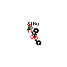 CC(C)(CO[Si](C)(C)C(C)(C)C)OCCC(C)(C(=O)OCc1ccccc1)c1cccc(Br)c1